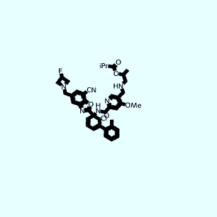 COc1cc(C(=O)NC2(c3nc4cc(CN5CC(F)C5)cc(C#N)c4o3)C=CC=C(c3ccccc3C)C2Cl)ncc1CNCC(C)OC(=O)C(C)C